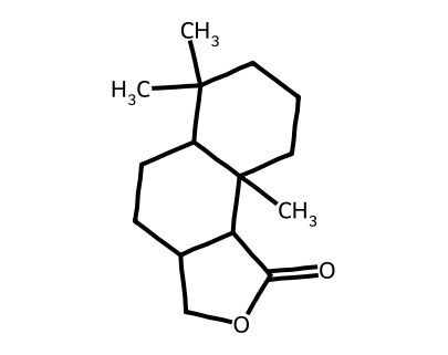 CC1(C)CCCC2(C)C3C(=O)OCC3CCC12